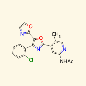 CC(=O)Nc1cc(-c2nc(-c3ccccc3Cl)c(-c3ncco3)o2)c(C)cn1